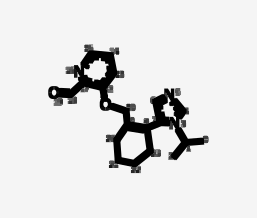 CC(C)n1cncc1C1=C(COc2cccnc2C=O)CCCC1